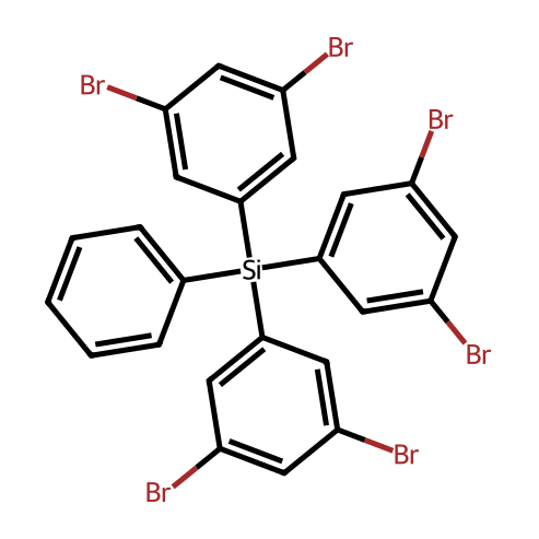 Brc1cc(Br)cc([Si](c2ccccc2)(c2cc(Br)cc(Br)c2)c2cc(Br)cc(Br)c2)c1